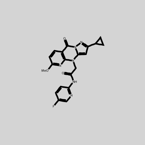 COc1ccc2c(=O)n3nc(C4CC4)cc3n(CC(=O)Nc3ccc(F)cn3)c2n1